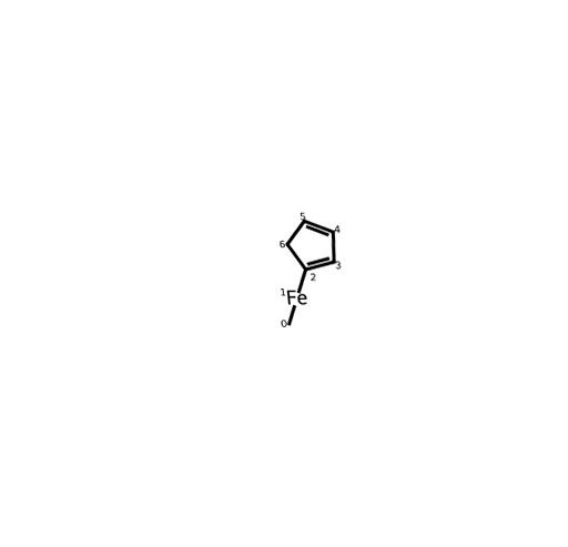 [CH3][Fe][C]1=CC=CC1